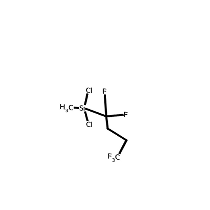 C[Si](Cl)(Cl)C(F)(F)CCC(F)(F)F